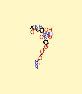 CN[C@@H](Cc1ccc(O)c(-n2[nH]c(=O)n(-c3ccc(OCCOCCOCCN=[N+]=[N-])cc3)c2=O)c1)C(=O)C(C)(C)C